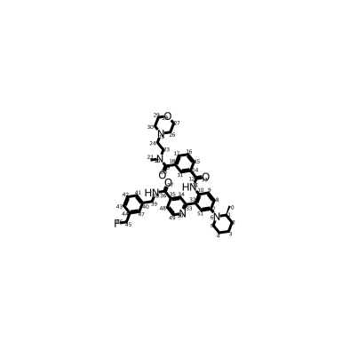 C[C@H]1CCCCN1c1ccc(NC(=O)c2cccc(C(=O)N(C)CCN3CCOCC3)c2)c(-c2cc(C(=O)NCc3cccc(CF)c3)ccn2)c1